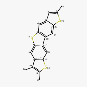 Cc1cc2cc3sc4cc5c(C)c(C)sc5cc4c3cc2s1